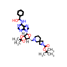 CC(C)(C)OC(=O)N1CC2(CCCN(C[C@H]3O[C@@H](n4cnc5c(NC(O)c6ccccc6)ncnc54)[C@@H]4OC(C)(C)O[C@@H]43)C2)C1